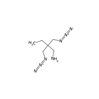 CCC(CN)(CN=[N+]=[N-])CN=[N+]=[N-]